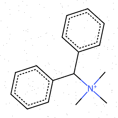 C[N+](C)(C)C(c1ccccc1)c1ccccc1